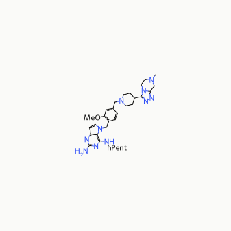 CCCCCNc1nc(N)nc2ccn(Cc3ccc(CN4CCC(c5nnc6n5CCN(C)C6)CC4)cc3OC)c12